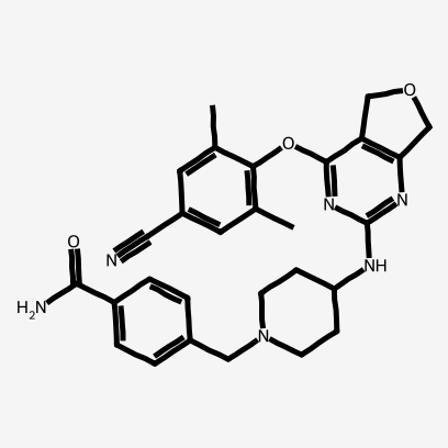 Cc1cc(C#N)cc(C)c1Oc1nc(NC2CCN(Cc3ccc(C(N)=O)cc3)CC2)nc2c1COC2